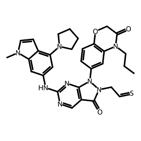 CCCN1C(=O)COc2ccc(-n3c4nc(Nc5cc(N6CCCC6)c6ccn(C)c6c5)ncc4c(=O)n3CC=S)cc21